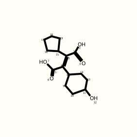 O=C(O)C(=C(C(=O)O)C1CCC(O)CC1)C1CCCC1